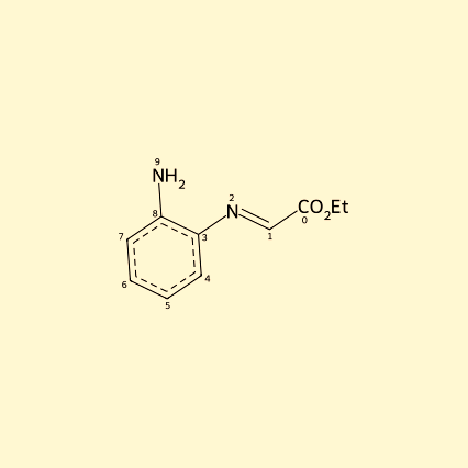 CCOC(=O)C=Nc1ccccc1N